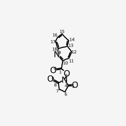 O=C(ON1C(=O)CCC1=O)c1ccc2ccccc2n1